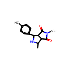 CCCCN1C(=O)C2C(C)NC(c3ccc(C#N)cc3)C2C1=O